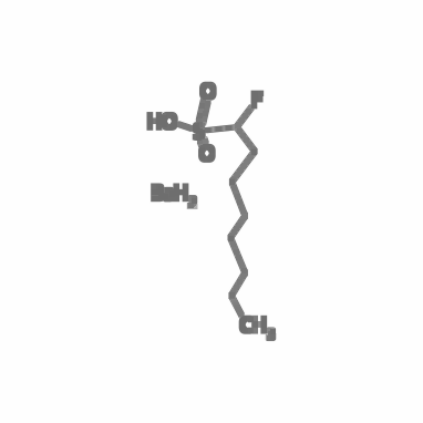 CCCCCCCC(F)S(=O)(=O)O.[BaH2]